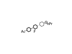 CCCO[C@H]1CC[C@H](c2ccc(-c3ccc(C(C)=O)cc3)c(F)c2)CC1